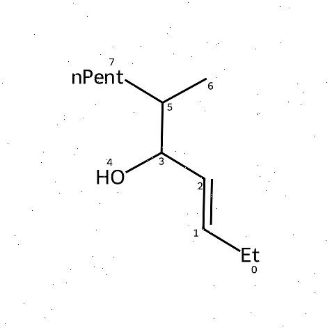 CCC=CC(O)C(C)CCCCC